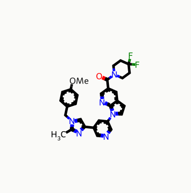 COc1ccc(Cn2cc(-c3cncc(-n4ccc5cc(C(=O)N6CCC(F)(F)CC6)cnc54)c3)nc2C)cc1